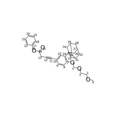 COCCOCOc1ccc(C#CCC(=O)Oc2ccccc2)cc1C12CC3CC(CC(C3)C1)C2